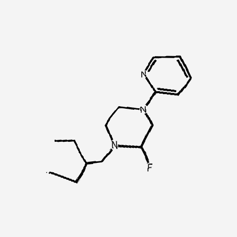 [CH2]CC(CC)CN1CCN(c2ccccn2)CC1F